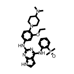 CCOc1cc(Nc2nc(Nc3ccccc3P(C)(C)=O)c3cc[nH]c3n2)ccc1N1CCC(N(C)C)CC1